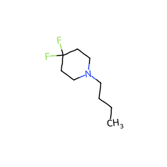 CCCCN1CCC(F)(F)CC1